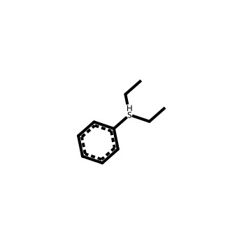 CC[SH](CC)c1ccccc1